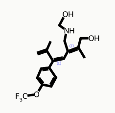 C=C(C)/C(=C\C(CNCO)=C(/C)CO)c1ccc(OC(F)(F)F)cc1